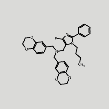 CCCCn1c(-c2ccccc2)nc(F)c1CN(Cc1ccc2c(c1)OCCO2)Cc1ccc2c(c1)OCCO2